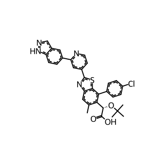 Cc1cc2nc(-c3ccnc(-c4ccc5[nH]ncc5c4)c3)sc2c(-c2ccc(Cl)cc2)c1[C@H](OC(C)(C)C)C(=O)O